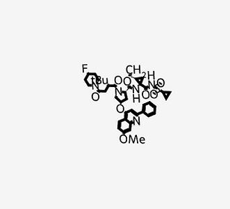 C=C[C@@H]1C[C@]1(NC(=O)[C@@H]1C[C@@H](Oc2cc(-c3ccccc3)nc3cc(OC)ccc23)CN1C(=O)C(CC(=O)N1CCC(F)CC1)C(C)(C)C)C(=O)NS(=O)(=O)C1CC1